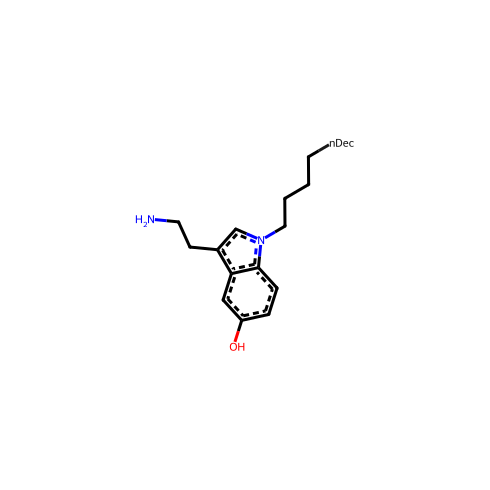 CCCCCCCCCCCCCCn1cc(CCN)c2cc(O)ccc21